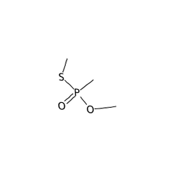 COP(C)(=O)SC